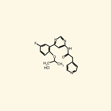 CC(C)Oc1ccc(F)cc1-c1cc(NC(=O)Cc2ccncc2)ncn1.Cl